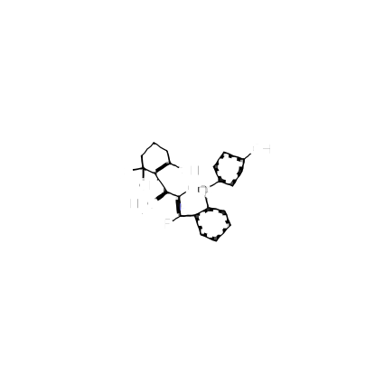 C=C(C1=C(C)CCCC1(C)C)/C(C)=C(\F)c1ccccc1Oc1ccc(C)cc1